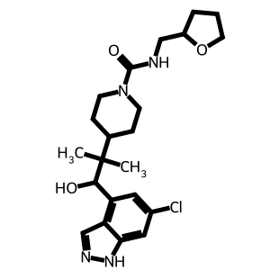 CC(C)(C1CCN(C(=O)NCC2CCCO2)CC1)C(O)c1cc(Cl)cc2[nH]ncc12